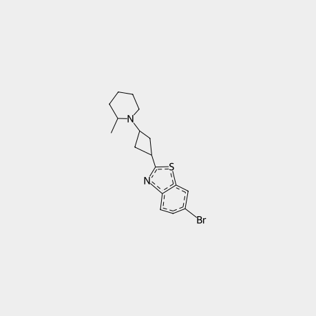 CC1CCCCN1C1CC(c2nc3ccc(Br)cc3s2)C1